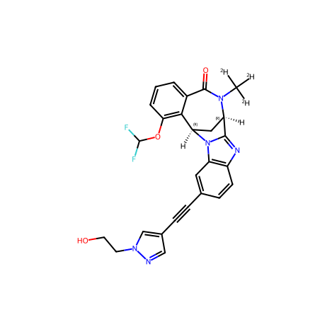 [2H]C([2H])([2H])N1C(=O)c2cccc(OC(F)F)c2[C@H]2C[C@@H]1c1nc3ccc(C#Cc4cnn(CCO)c4)cc3n12